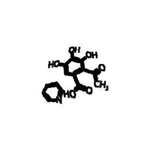 CC(=O)c1c(C(=O)O)cc(O)c(O)c1O.c1ccncc1